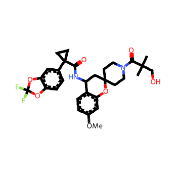 COc1ccc2c(c1)OC1(CCN(C(=O)C(C)(C)CO)CC1)CC2NC(=O)C1(c2ccc3c(c2)OC(F)(F)O3)CC1